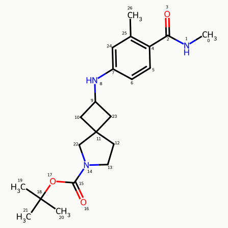 CNC(=O)c1ccc(NC2CC3(CCN(C(=O)OC(C)(C)C)C3)C2)cc1C